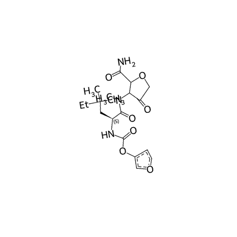 CCC(C)(C)C[C@H](NC(=O)Oc1ccoc1)C(=O)N(C)C1C(=O)COC1C(N)=O